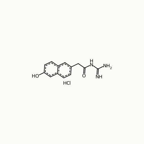 Cl.N=C(N)NC(=O)Cc1ccc2cc(O)ccc2c1